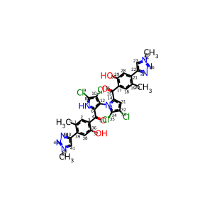 Cc1cc(C(=O)c2[nH]c(Cl)c(Cl)c2-n2c(C(=O)c3cc(C)c(-c4cn(C)nn4)cc3O)cc(Cl)c2Cl)c(O)cc1-c1cn(C)nn1